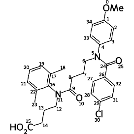 COc1ccc(N(CCCC(=O)N(CCCC(=O)O)c2c(C)cccc2C)C(=O)c2ccc(Cl)cc2)cc1